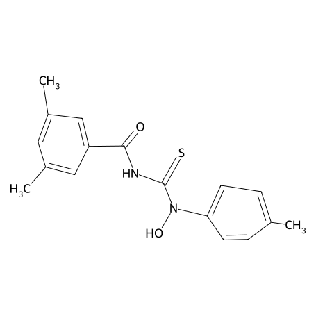 Cc1ccc(N(O)C(=S)NC(=O)c2cc(C)cc(C)c2)cc1